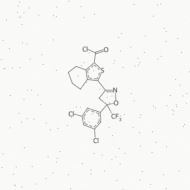 O=C(Cl)c1sc(C2=NOC(c3cc(Cl)cc(Cl)c3)(C(F)(F)F)C2)c2c1CCCC2